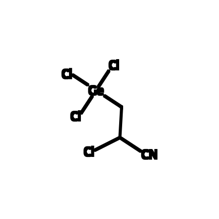 N#CC(Cl)[CH2][Ge]([Cl])([Cl])[Cl]